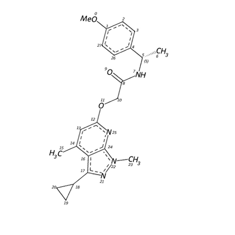 COc1ccc([C@H](C)NC(=O)COc2cc(C)c3c(C4CC4)nn(C)c3n2)cc1